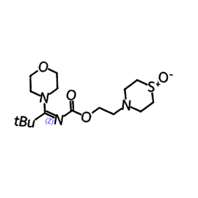 CC(C)(C)/C(=N/C(=O)OCCN1CC[S+]([O-])CC1)N1CCOCC1